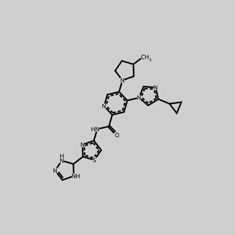 CC1CCN(c2cnc(C(=O)Nc3csc(C4NC=NN4)n3)cc2-n2cnc(C3CC3)c2)C1